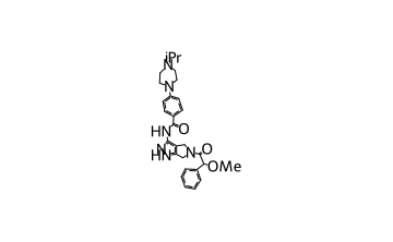 COC(C(=O)N1Cc2[nH]nc(NC(=O)c3ccc(N4CCN(C(C)C)CC4)cc3)c2C1)c1ccccc1